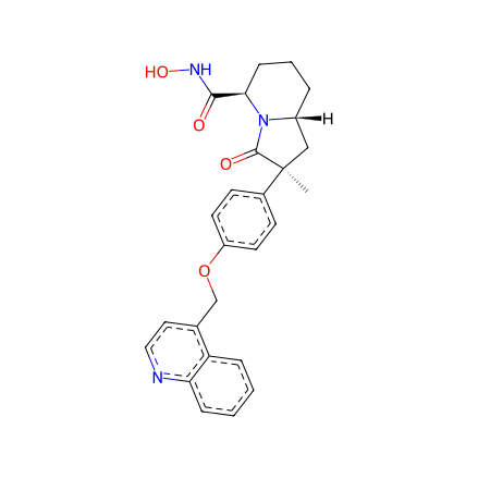 C[C@@]1(c2ccc(OCc3ccnc4ccccc34)cc2)C[C@H]2CCC[C@H](C(=O)NO)N2C1=O